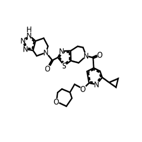 O=C(c1cc(OCC2CCOCC2)nc(C2CC2)c1)N1CCc2nc(C(=O)N3CCc4[nH]nnc4C3)sc2C1